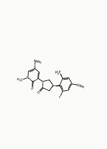 COc1cc(F)c([C@H]2CC(=O)N(c3cc(NC(C)=O)cn(C)c3=O)C2)c(P)c1